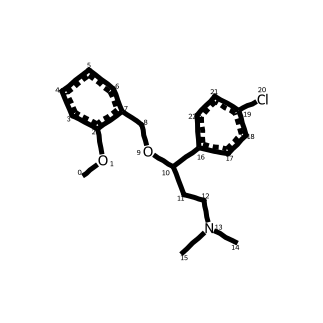 COc1ccccc1COC(CCN(C)C)c1ccc(Cl)cc1